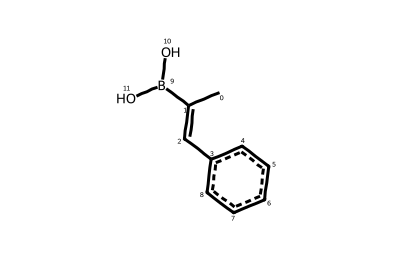 CC(=Cc1ccccc1)B(O)O